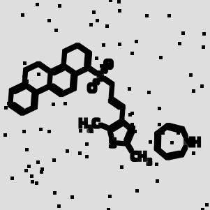 C1=CC=CNC=C1.Cc1cc(C=CCS(=O)(=O)C2=CCCc3c2ccc2c3CCc3ccccc3-2)c(C)s1